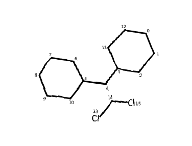 C1CCC(CC2CCCCC2)CC1.ClCCl